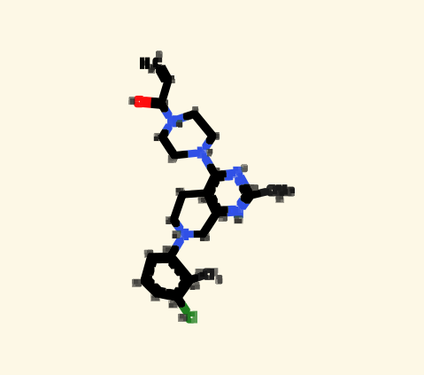 C=CC(=O)N1CCN(c2nc(OC)nc3c2CCN(c2cccc(Cl)c2C(F)(F)F)C3)CC1